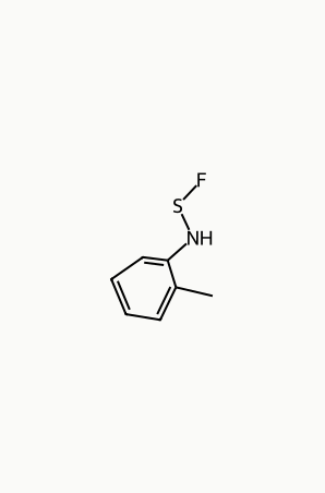 Cc1ccccc1NSF